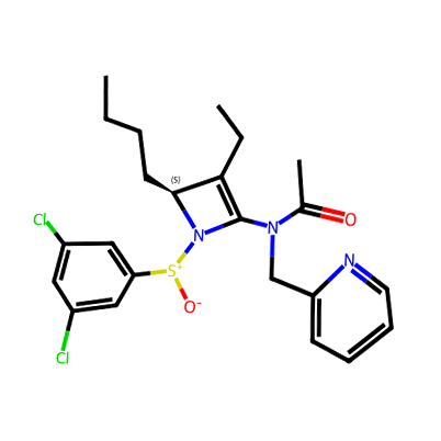 CCCC[C@H]1C(CC)=C(N(Cc2ccccn2)C(C)=O)N1[S+]([O-])c1cc(Cl)cc(Cl)c1